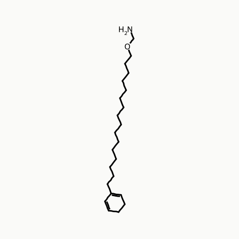 NCOCCCCCCCCCCCCCCCCC1=CCCC=C1